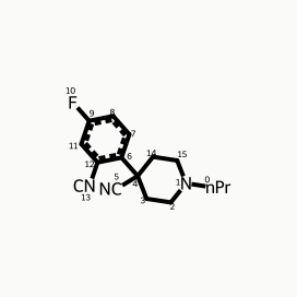 [CH2]CCN1CCC(C#N)(c2ccc(F)cc2C#N)CC1